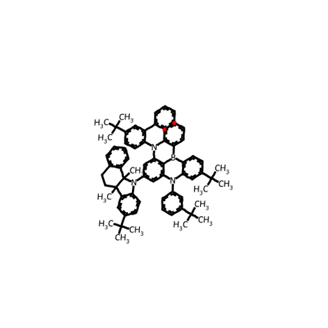 CC(C)(C)c1cccc(N2c3cc(C(C)(C)C)ccc3B3c4ccccc4N(c4ccc(C(C)(C)C)cc4-c4ccccc4)c4cc(N5c6ccc(C(C)(C)C)cc6C6(C)CCc7ccccc7C56C)cc2c43)c1